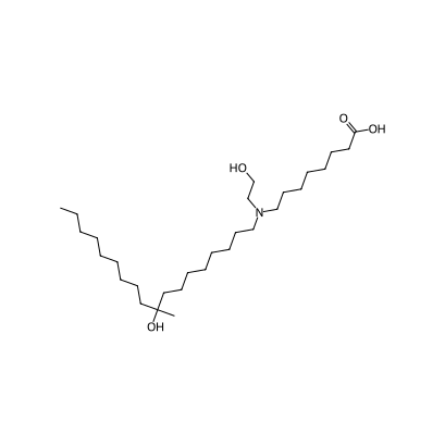 CCCCCCCCCC(C)(O)CCCCCCCCN(CCO)CCCCCCCC(=O)O